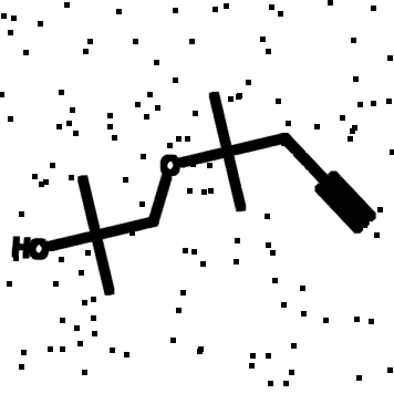 C#CCC(C)(C)OCC(C)(C)O